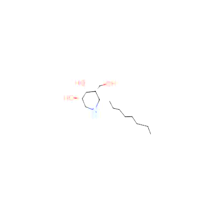 CCCCCCCC[C@@H]1NC[C@@H](O)[C@H](O)[C@H]1CO